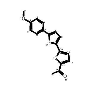 COc1ccc(-c2ccc(-c3ccc(C(C)=O)s3)s2)cc1